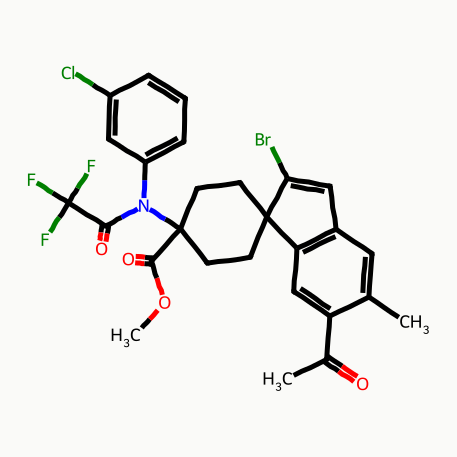 COC(=O)C1(N(C(=O)C(F)(F)F)c2cccc(Cl)c2)CCC2(CC1)C(Br)=Cc1cc(C)c(C(C)=O)cc12